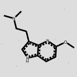 COc1ccc2[nH]cc(CCN(C)C)c2n1